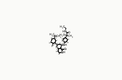 CCNC(=O)C(C)(C)c1ccc(Nc2cc(-c3cc(C(C)C)ccc3F)nc3cc[nH]c(=O)c23)nc1